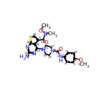 COc1ccc(NC(=O)N2CCN(c3nc(N)nc4scc(C(=O)N(C)OC)c34)CC2)cc1